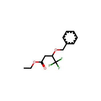 CCOC(=O)CC(OCc1ccccc1)C(F)(F)F